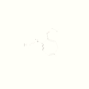 C=NC1=CC=C(F)CC=C1/C=C\C